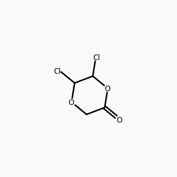 O=C1COC(Cl)C(Cl)O1